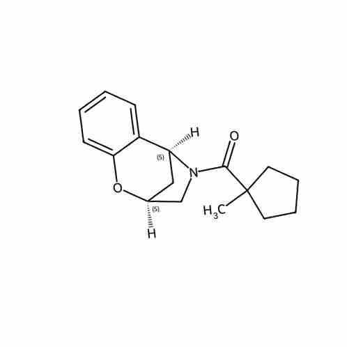 CC1(C(=O)N2C[C@@H]3C[C@H]2c2ccccc2O3)CCCC1